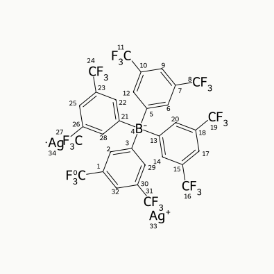 FC(F)(F)c1cc([B-](c2cc(C(F)(F)F)cc(C(F)(F)F)c2)(c2cc(C(F)(F)F)cc(C(F)(F)F)c2)c2cc(C(F)(F)F)cc(C(F)(F)F)c2)cc(C(F)(F)F)c1.[Ag+].[Ag]